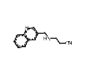 N#CCCNCc1cnc2ccccc2c1